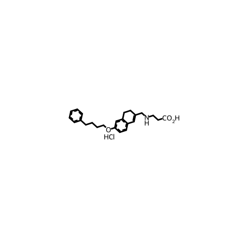 Cl.O=C(O)CCNCC1=Cc2ccc(OCCCCc3ccccc3)cc2CC1